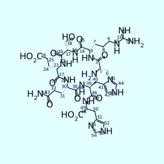 C[C@H](N)C(=O)N[C@@H](CCCNC(=N)N)C(=O)N[C@@H](CO)C(=O)N[C@@H](CCC(=O)O)C(=O)N[C@@H](CCC(N)=O)C(=O)N[C@@H](Cc1c[nH]cn1)C(=O)N[C@@H](Cc1c[nH]cn1)C(=O)O